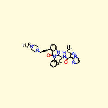 Cc1nn2cccnc2c1C(=O)N[C@H](C)c1nc2cccc(C#CCN3CCN(C)CC3)c2c(=O)n1-c1ccccc1